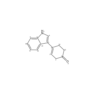 O=C1CC=C(c2c[nH]c3ccccc23)CC1